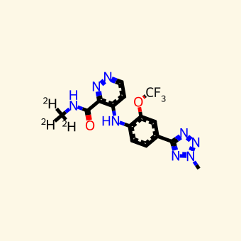 [2H]C([2H])([2H])NC(=O)c1nnccc1Nc1ccc(-c2nnn(C)n2)cc1OC(F)(F)F